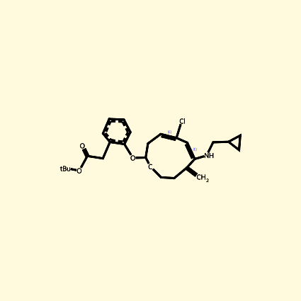 C=C1CCCC(Oc2ccccc2CC(=O)OC(C)(C)C)C/C=C(Cl)\C=C/1NCC1CC1